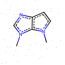 Cn1ccc2ncn(C)c21